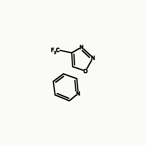 FC(F)(F)c1conn1.c1ccncc1